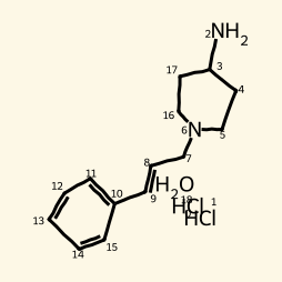 Cl.Cl.NC1CCN(CC=Cc2ccccc2)CC1.O